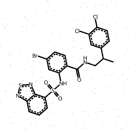 CC(CNC(=O)c1ccc(Br)cc1NS(=O)(=O)c1cccc2nsnc12)c1ccc(Cl)c(Cl)c1